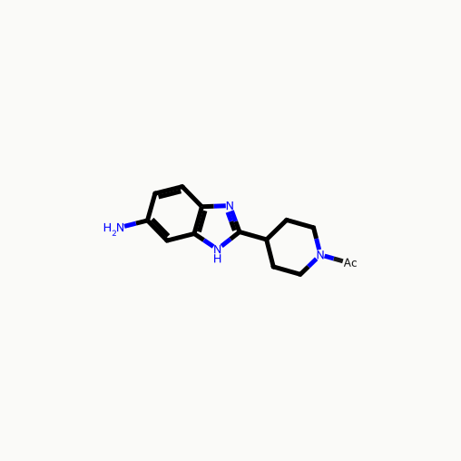 CC(=O)N1CCC(c2nc3ccc(N)cc3[nH]2)CC1